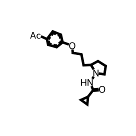 CC(=O)c1ccc(OCCCC2CCCN2NC(=O)C2CC2)cc1